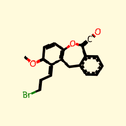 COC1C=CC2=C(Cc3ccccc3C(=C=O)O2)C1=CCCBr